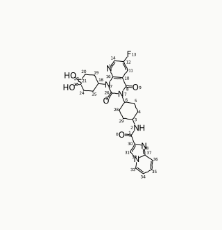 O=C(NC1CCC(n2c(=O)c3cc(F)cnc3n(C3CCS(O)(O)CC3)c2=O)CC1)c1cn2ccccc2n1